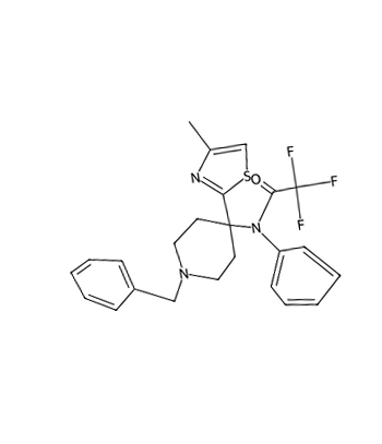 Cc1csc(C2(N(C(=O)C(F)(F)F)c3ccccc3)CCN(Cc3ccccc3)CC2)n1